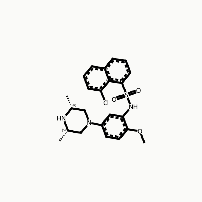 COc1ccc(N2C[C@@H](C)N[C@@H](C)C2)cc1NS(=O)(=O)c1cccc2cccc(Cl)c12